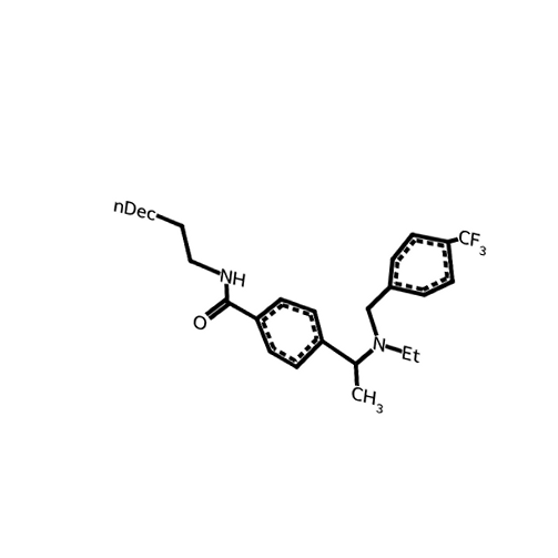 CCCCCCCCCCCCNC(=O)c1ccc(C(C)N(CC)Cc2ccc(C(F)(F)F)cc2)cc1